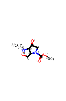 CC(C)(C)OC(=O)N1CC(=O)C2C1CON2C(=O)O